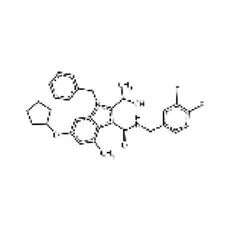 Cc1cc(OC2CCCC2)cc2c1c(C(=O)NCc1ccc(F)c(F)c1)c(C(C)C)n2Cc1ccccc1